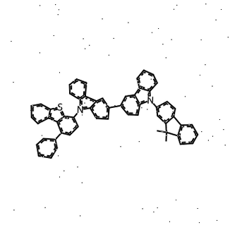 CC1(C)c2ccccc2-c2ccc(-n3c4ccccc4c4cc(-c5ccc6c(c5)c5ccccc5n6-c5ccc(-c6ccccc6)c6c5sc5ccccc56)ccc43)cc21